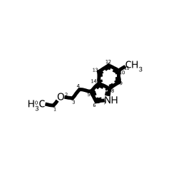 CCOCCc1c[nH]c2cc(C)ccc12